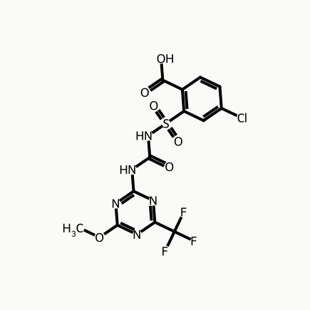 COc1nc(NC(=O)NS(=O)(=O)c2cc(Cl)ccc2C(=O)O)nc(C(F)(F)F)n1